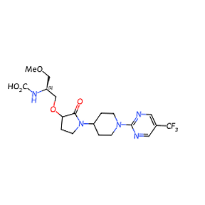 COC[C@@H](COC1CCN(C2CCN(c3ncc(C(F)(F)F)cn3)CC2)C1=O)NC(=O)O